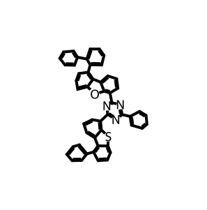 c1ccc(-c2nc(-c3cccc4c3oc3cccc(-c5ccccc5-c5ccccc5)c34)nc(-c3cccc4c3sc3cccc(-c5ccccc5)c34)n2)cc1